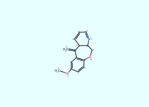 C=C1c2cc(OC)ccc2OCC2N=CC=CC12